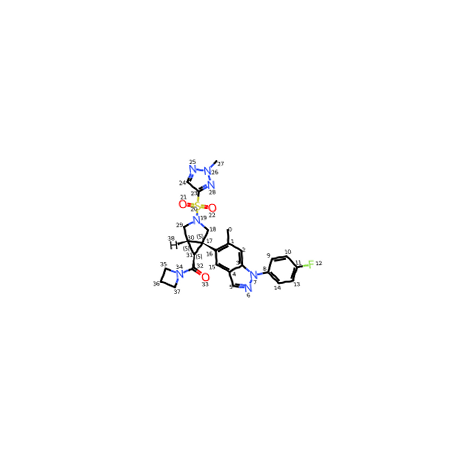 Cc1cc2c(cnn2-c2ccc(F)cc2)cc1[C@]12CN(S(=O)(=O)c3cnn(C)n3)C[C@H]1[C@@H]2C(=O)N1CCC1